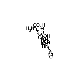 NC(CCSC[C@H]1O[C@@H](n2cnc3c(NCCCN4CCOCC4)ncnc32)[C@H](O)[C@@H]1O)C(=O)O